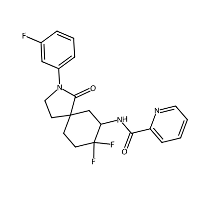 O=C(NC1CC2(CCN(c3cccc(F)c3)C2=O)CCC1(F)F)c1ccccn1